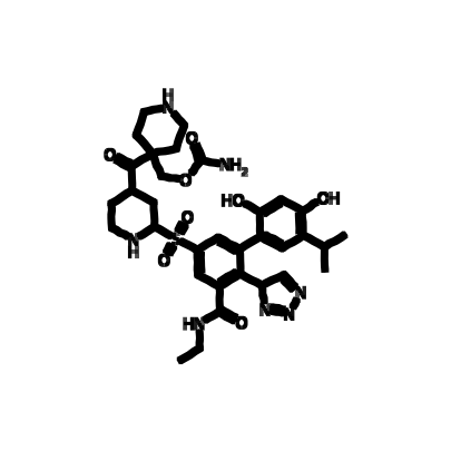 CCNC(=O)c1cc(S(=O)(=O)C2CC(C(=O)C3(COC(N)=O)CCNCC3)CCN2)cc(-c2cc(C(C)C)c(O)cc2O)c1C1C=NN=N1